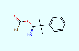 CC(C)(C(=N)OC(=O)S)c1ccccc1